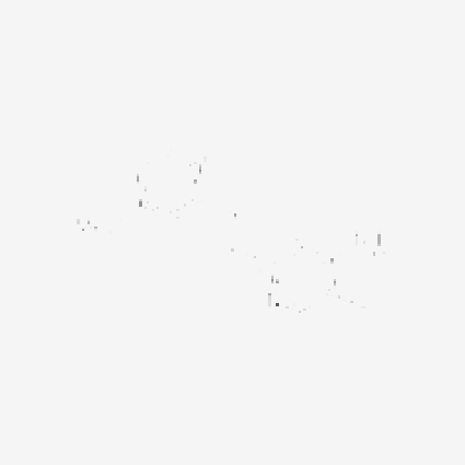 COc1cccc(COc2ncc(F)c(N)n2)c1